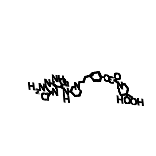 Nc1nc(N)c(C(=O)NC2CCCN(CCCc3ccc(OCC(=O)N4CCC(O)(CO)CC4)cc3)C2)nc1Cl